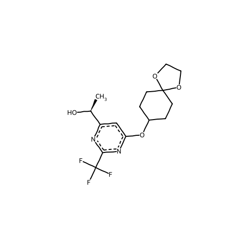 C[C@H](O)c1cc(OC2CCC3(CC2)OCCO3)nc(C(F)(F)F)n1